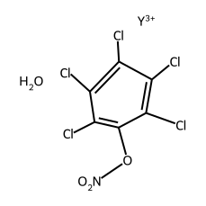 O.O=[N+]([O-])Oc1c(Cl)c(Cl)c(Cl)c(Cl)c1Cl.[Y+3]